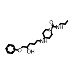 CCCNC(=O)N1CCC(NCCCC(O)COc2ccccc2)CC1